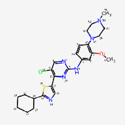 COc1cc(Nc2ncc(Cl)c(-c3cnc(C4CCCCC4)s3)n2)ccc1N1CCN(C)CC1